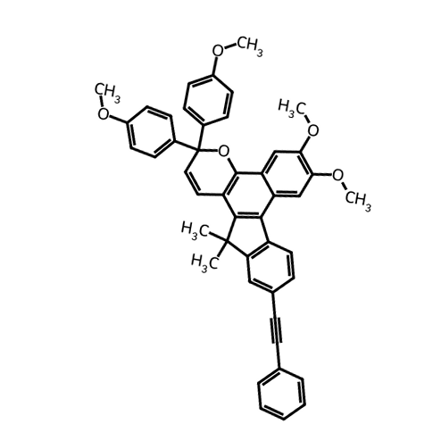 COc1ccc(C2(c3ccc(OC)cc3)C=Cc3c4c(c5cc(OC)c(OC)cc5c3O2)-c2ccc(C#Cc3ccccc3)cc2C4(C)C)cc1